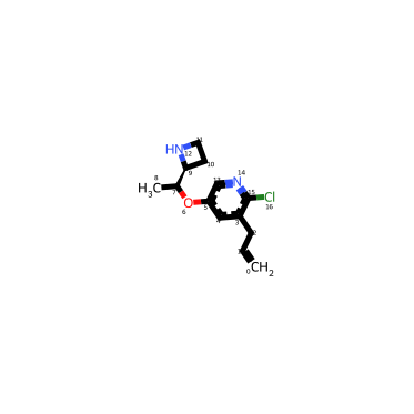 C=CCc1cc(OC(C)[C@@H]2CCN2)cnc1Cl